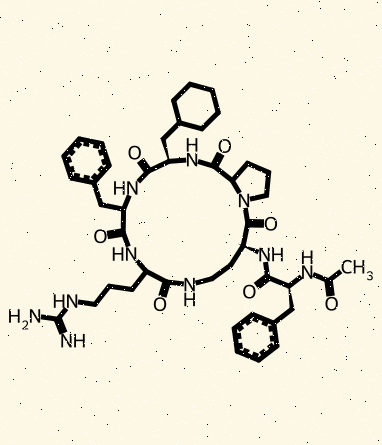 CC(=O)N[C@@H](Cc1ccccc1)C(=O)N[C@H]1CCNC(=O)C(CCCNC(=N)N)NC(=O)C(Cc2ccccc2)NC(=O)[C@@H](CC2CCCCC2)NC(=O)C2CCCN2C1=O